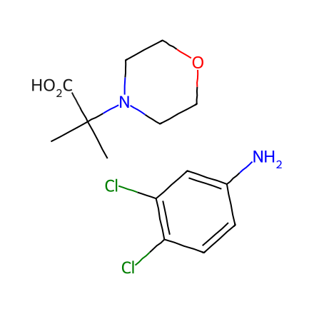 CC(C)(C(=O)O)N1CCOCC1.Nc1ccc(Cl)c(Cl)c1